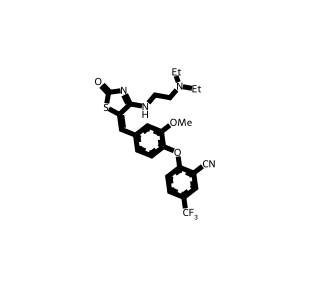 CCN(CC)CCNC1=NC(=O)SC1=Cc1ccc(Oc2ccc(C(F)(F)F)cc2C#N)c(OC)c1